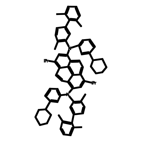 Cc1ccc(-c2c(C)cccc2C)cc1N(c1cccc(C2CCCCC2)c1)c1cc(C(C)C)c2ccc3c(N(c4cccc(C5CCCCC5)c4)c4cc(-c5c(C)cccc5C)ccc4C)cc(C(C)C)c4ccc1c2c43